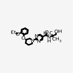 CCOc1ccccc1OC1CCCN(c2ncc(C(=O)NC(C)(C)CO)cn2)C1